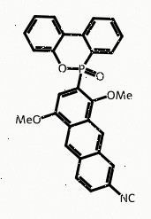 [C-]#[N+]c1ccc2cc3c(OC)cc(P4(=O)Oc5ccccc5-c5ccccc54)c(OC)c3cc2c1